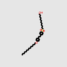 CCCCCCCCCCCCCCOc1ccc(C=Cc2ccc(S(=O)(=O)CCCCCCCCCCCCO)cc2)cc1